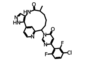 CC1CCCC(n2cnc(-c3c(F)ccc(Cl)c3F)cc2=O)c2cc(ccn2)-c2[nH]ncc2NC1=O